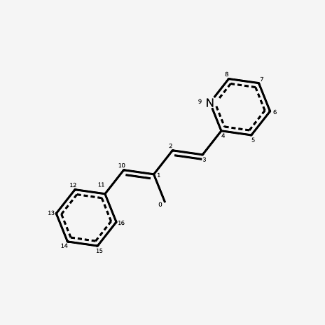 CC(/C=C/c1ccccn1)=C\c1ccccc1